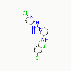 Clc1ccc(CNC2CCCN(c3nc4nc(Cl)ccc4[nH]3)C2)c(Cl)c1